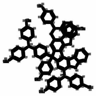 CC(C)(C)c1ccc(C(Cc2cc3c(c4oc5ccccc5c24)-c2c(cc(N(c4ccc(C(C)(C)C)cc4)c4ccc(C(C)(C)C)cc4)c4oc5ccccc5c24)C3(c2ccc(N(c3ccc(C(C)(C)C)cc3)c3ccc(C(C)(C)C)cc3)cc2)c2ccc(C(C)(C)C)cc2)c2ccc(C(C)(C)C)cc2)cc1